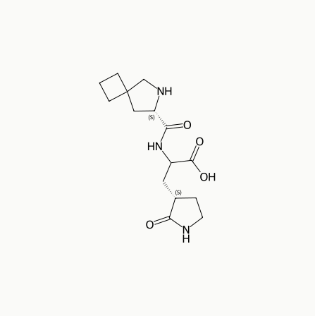 O=C(O)C(C[C@@H]1CCNC1=O)NC(=O)[C@@H]1CC2(CCC2)CN1